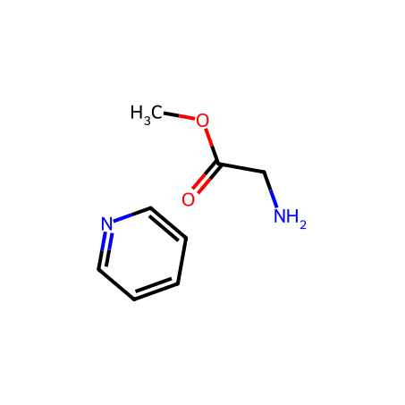 COC(=O)CN.c1ccncc1